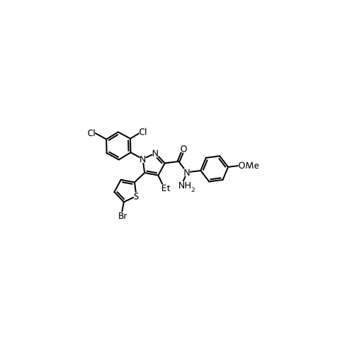 CCc1c(C(=O)N(N)c2ccc(OC)cc2)nn(-c2ccc(Cl)cc2Cl)c1-c1ccc(Br)s1